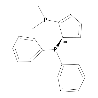 CP(C)C1=CC=C[C@H]1P(c1ccccc1)c1ccccc1